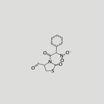 O=[C]C1CSC(=O)N1C(=O)C(c1ccccc1)[N+](=O)[O-]